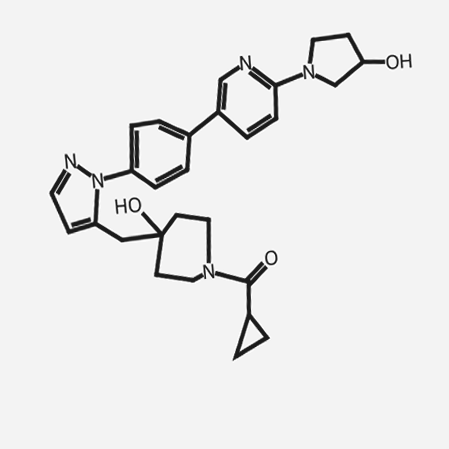 O=C(C1CC1)N1CCC(O)(Cc2ccnn2-c2ccc(-c3ccc(N4CCC(O)C4)nc3)cc2)CC1